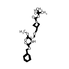 COC(=O)[C@H](COCC1CN(C(=O)OC(C)(C)C)C1)NC(=O)OCc1ccccc1